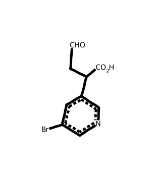 O=CCC(C(=O)O)c1cncc(Br)c1